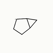 [CH]1CCC2CC12